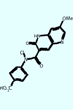 COc1cnc2cc(C(=O)N(Cl)c3ccc(C(=O)O)cc3)c(=O)[nH]c2c1